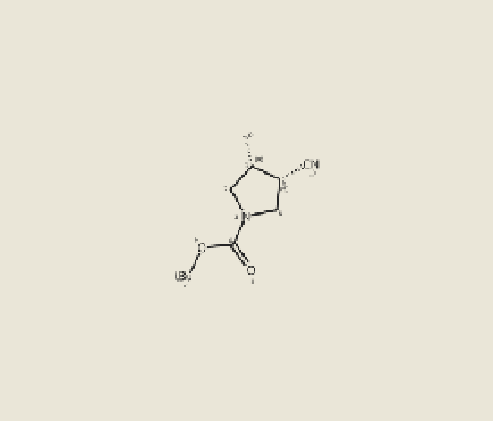 C[C@H]1CN(C(=O)OC(C)(C)C)C[C@H]1C#N